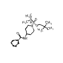 C[SH](C)P(=O)(OCC(C)(C)C)N1CCC(NC(=O)c2ccccc2)CC1